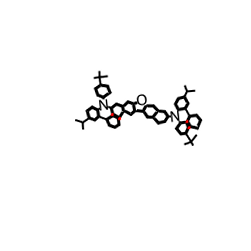 CC(C)c1ccc(N(c2ccc(C(C)(C)C)cc2)c2ccc3cc4c(cc3c2)oc2cc3cc(N(c5ccc(C(C)(C)C)cc5)c5ccc(C(C)C)cc5-c5ccccc5)ccc3cc24)c(-c2ccccc2)c1